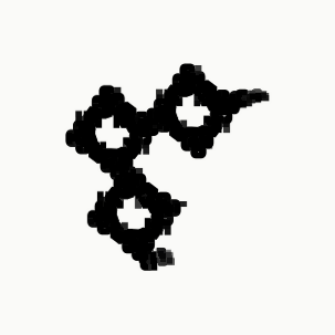 O=S(=O)([O-])c1c2nc(c(S(=O)(=O)[O-])c3ccc([nH]3)c(S(=O)(=O)[O-])c3nc(c(S(=O)(=O)[O-])c4ccc1[nH]4)C=C3)C=C2.O=S(=O)([O-])c1c2nc(c(S(=O)(=O)[O-])c3ccc([nH]3)c(S(=O)(=O)[O-])c3nc(c(S(=O)(=O)[O-])c4ccc1[nH]4)C=C3)C=C2.O=S(=O)([O-])c1c2nc(c(S(=O)(=O)[O-])c3ccc([nH]3)c(S(=O)(=O)[O-])c3nc(c(S(=O)(=O)[O-])c4ccc1[nH]4)C=C3)C=C2.[Cr+3].[Cr+3].[Cr+3].[Cr+3]